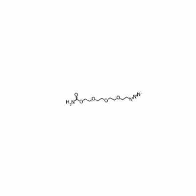 [N-]=[N+]=NCCOCCOCCOCCOC(N)=O